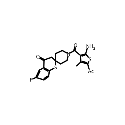 CC(=O)c1sc(N)c(C(=O)N2CCC3(CC2)CC(=O)c2cc(F)ccc2S3)c1C